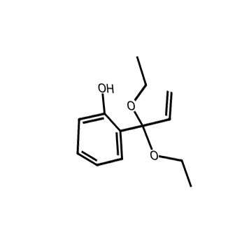 C=CC(OCC)(OCC)c1ccccc1O